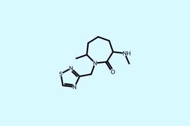 CNC1CCCC(C)N(Cc2ncsn2)C1=O